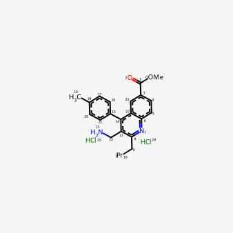 COC(=O)c1ccc2nc(CC(C)C)c(CN)c(-c3ccc(C)cc3)c2c1.Cl.Cl